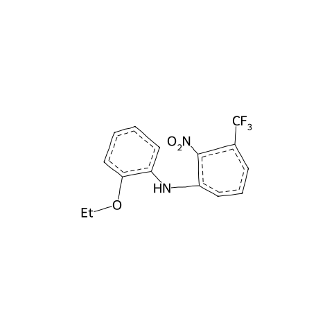 CCOc1ccccc1Nc1cccc(C(F)(F)F)c1[N+](=O)[O-]